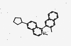 Cc1cc2ccccc2cc1-c1c2ccc(C3CCCC3)cc2cc[n+]1C